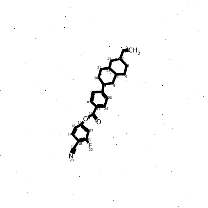 C=CC1CCC2CC(c3ccc(C(=O)Oc4ccc(C#N)c(F)c4)cc3)CCC2C1